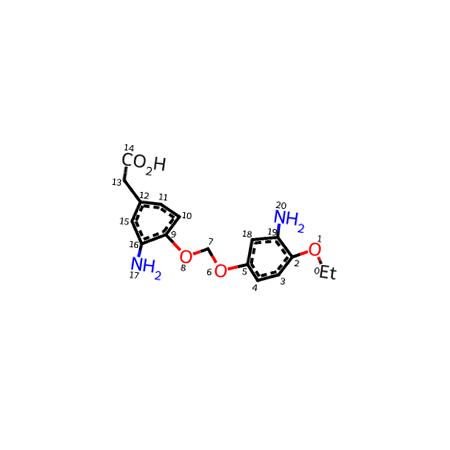 CCOc1ccc(OCOc2ccc(CC(=O)O)cc2N)cc1N